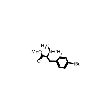 COC(=O)C(Cc1ccc(C(C)(C)C)cc1)N(C)C